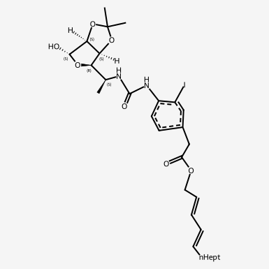 CCCCCCCC=CC=CCOC(=O)Cc1ccc(NC(=O)N[C@@H](C)[C@H]2O[C@H](O)[C@H]3OC(C)(C)O[C@@H]23)c(I)c1